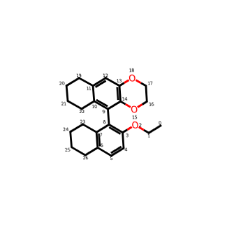 CCOc1ccc2c(c1-c1c3c(cc4c1OCCO4)CCCC3)CCCC2